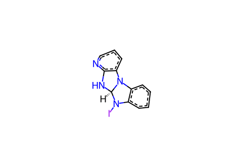 IN1c2ccccc2N2c3cccnc3N[C@H]12